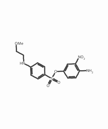 COCCNc1ccc(S(=O)(=O)Oc2ccc(N)c([N+](=O)[O-])c2)cc1